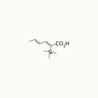 CC=CC=C(C(=O)O)[Si](C)(C)C